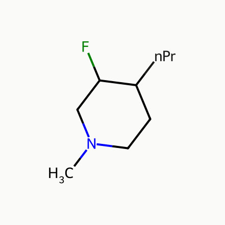 CCCC1CCN(C)CC1F